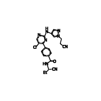 CCC(C#N)NC(=O)c1ccc(-c2nc(Nc3cnn(CCC#N)c3)ncc2Cl)cc1